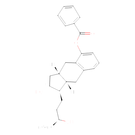 CCCCC[C@H](O)CC[C@@H]1[C@H]2Cc3cccc(OC(=O)c4ccccc4)c3C[C@H]2C[C@H]1O